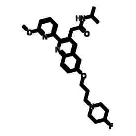 COc1cccc(-c2nc3ccc(OCCCN4CCC(F)CC4)cc3cc2CC(=O)NC(C)C)n1